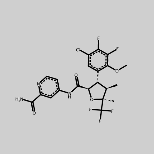 COc1c([C@@H]2[C@@H](C)[C@@](C)(C(F)(F)F)O[C@H]2C(=O)Nc2ccnc(C(N)=O)c2)cc(Cl)c(F)c1F